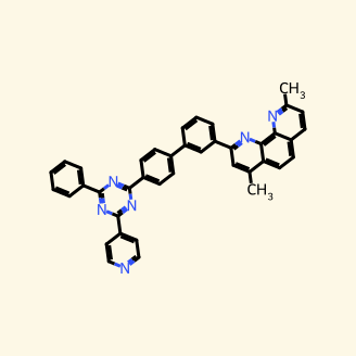 Cc1ccc2ccc3c(C)cc(-c4cccc(-c5ccc(-c6nc(-c7ccccc7)nc(-c7ccncc7)n6)cc5)c4)nc3c2n1